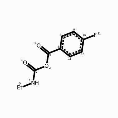 CCNC(=O)OC(=O)c1ccc(F)cc1